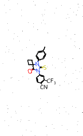 Cc1ccc(N2C(=S)N(c3ccc(C#N)c(C(F)(F)F)c3)C(=O)C23CCC3)cc1